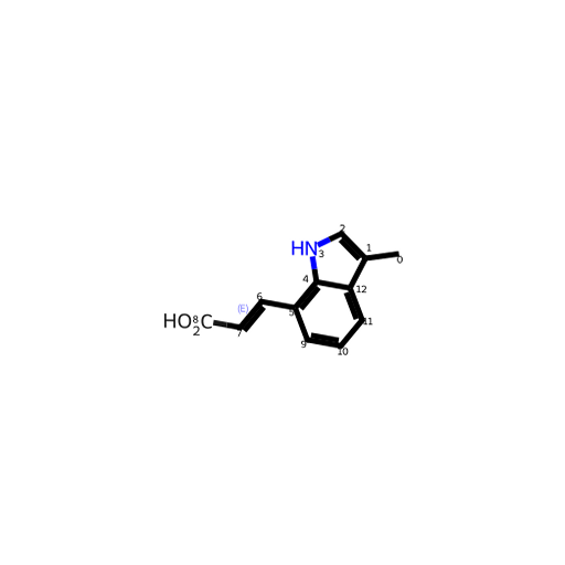 Cc1c[nH]c2c(/C=C/C(=O)O)cccc12